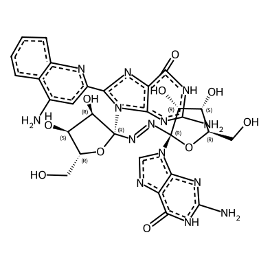 Nc1nc2c(ncn2[C@]2(N=N[C@@]3(n4c(-c5cc(N)c6ccccc6n5)nc5c(=O)[nH]c(N)nc54)O[C@H](CO)[C@@H](O)[C@H]3O)O[C@H](CO)[C@@H](O)[C@H]2O)c(=O)[nH]1